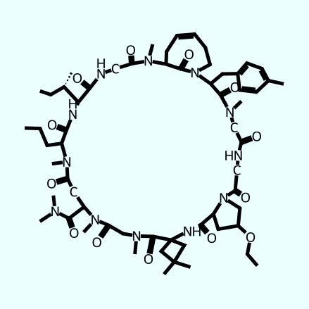 CCCC1C(=O)NC([C@@H](C)CC)C(=O)NCC(=O)N(C)C2CC=CCCN(C2=O)C(Cc2ccc(C)cc2)C(=O)N(C)CC(=O)NCC(=O)N2CC(OCC)CC2C(=O)NC2(CC(C)(C)C2)C(=O)N(C)CC(=O)N(C)C(C(=O)N(C)C)CC(=O)N1C